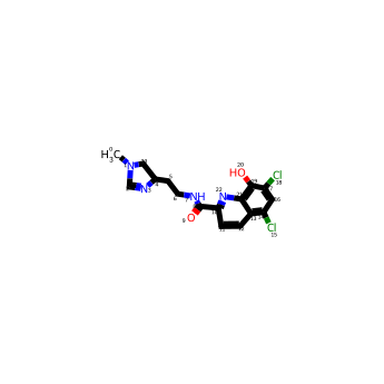 CN1C=NC(CCNC(=O)c2ccc3c(Cl)cc(Cl)c(O)c3n2)C1